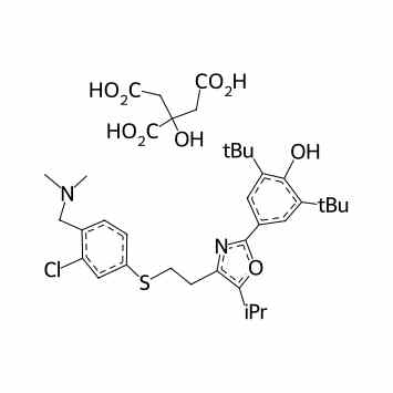 CC(C)c1oc(-c2cc(C(C)(C)C)c(O)c(C(C)(C)C)c2)nc1CCSc1ccc(CN(C)C)c(Cl)c1.O=C(O)CC(O)(CC(=O)O)C(=O)O